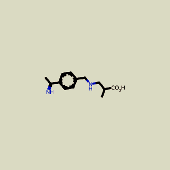 CC(=N)c1ccc(CNCC(C)C(=O)O)cc1